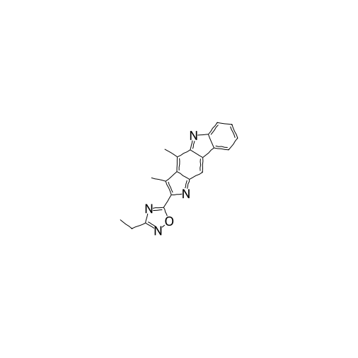 CCc1noc(C2=C(C)c3c(C)c4c(cc3=N2)-c2ccccc2N=4)n1